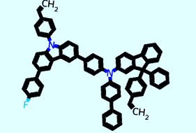 C=Cc1ccc(-n2c3ccc(-c4ccc(F)cc4)cc3c3cc(-c4ccc(N(c5ccc(-c6ccccc6)cc5)c5ccc6c(c5)C(c5ccccc5)(c5ccc(C=C)cc5)c5ccccc5-6)cc4)ccc32)cc1